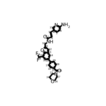 Nc1ccc(C=CC(=O)NCc2cc3cc(-c4ccc(C(=O)N5CCOCC5)cc4)cc(C(F)F)c3o2)cn1